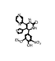 CCOc1cc(C2NC(=O)NC(c3cnccn3)=C2c2ccsc2)cc([N+](=O)[O-])c1O